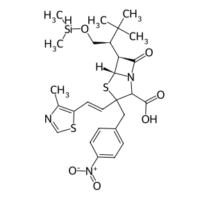 Cc1ncsc1C=CC1(Cc2ccc([N+](=O)[O-])cc2)S[C@@H]2[C@@H]([C@@H](CO[SiH](C)C)C(C)(C)C)C(=O)N2C1C(=O)O